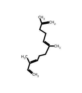 C=CC(C)=CCCC(C)=CCCC(=C)C